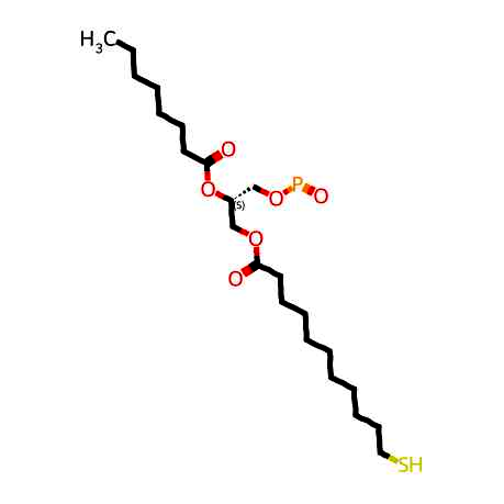 CCCCCCCC(=O)O[C@H](COP=O)COC(=O)CCCCCCCCCCS